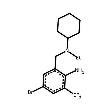 CCN(Cc1cc(Br)cc(C(F)(F)F)c1N)C1CCCCC1